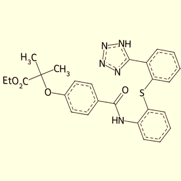 CCOC(=O)C(C)(C)Oc1ccc(C(=O)Nc2ccccc2Sc2ccccc2-c2nnn[nH]2)cc1